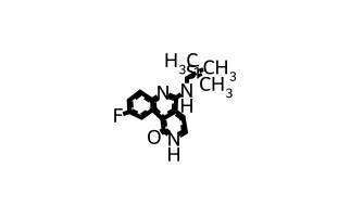 C[Si](C)(C)CNc1nc2ccc(F)cc2c2c(=O)[nH]ccc12